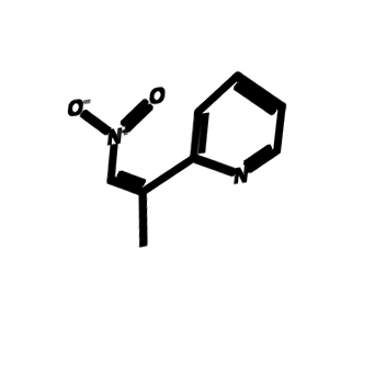 C/C(=C/[N+](=O)[O-])c1ccccn1